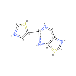 c1ncc(-c2ncc3ncsc3n2)s1